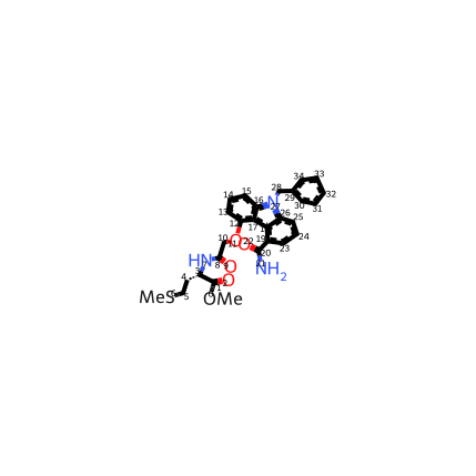 COC(=O)[C@H](CCSC)NC(=O)COc1cccc2c1c1c(C(N)=O)cccc1n2Cc1ccccc1